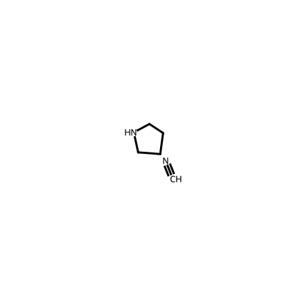 C#N.C1CCNC1